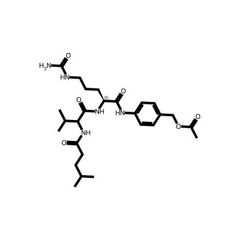 CC(=O)OCc1ccc(NC(=O)[C@H](CCCNC(N)=O)NC(=O)C(NC(=O)CCC(C)C)C(C)C)cc1